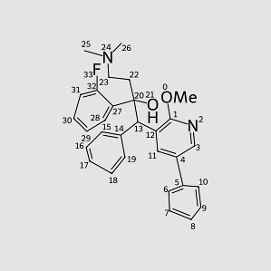 COc1ncc(-c2ccccc2)cc1C(c1ccccc1)C(O)(CCN(C)C)c1ccccc1F